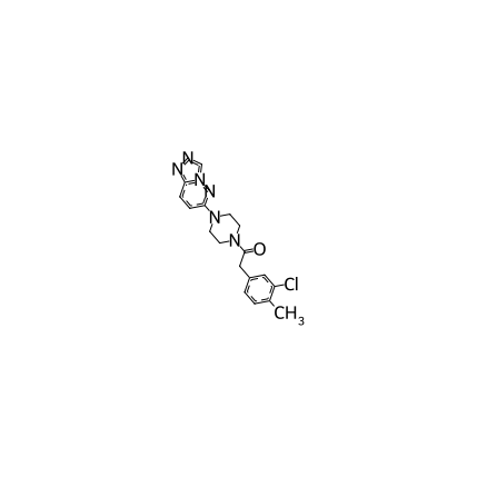 Cc1ccc(CC(=O)N2CCN(c3ccc4nncn4n3)CC2)cc1Cl